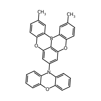 Cc1ccc2c(c1)B1c3cc(C)ccc3Oc3cc(N4c5ccccc5Oc5ccccc54)cc(c31)O2